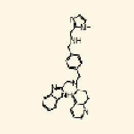 C1=CC2=CC(N(Cc3ccc(CNCc4ncc[nH]4)cc3)Cc3nc4ccccc4[nH]3)CCC2N=C1